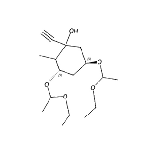 C#CC1(O)C[C@@H](OC(C)OCC)C[C@H](OC(C)OCC)C1C